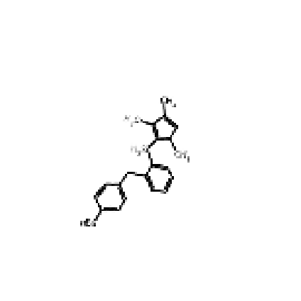 CCCCc1ccc(Cc2ccccc2[SiH2]C2=C(C)C(C)=CC2C)cc1